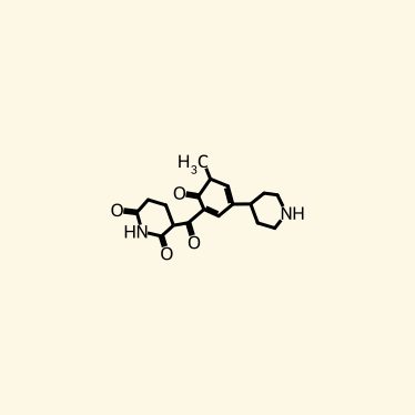 CC1C=C(C2CCNCC2)C=C(C(=O)C2CCC(=O)NC2=O)C1=O